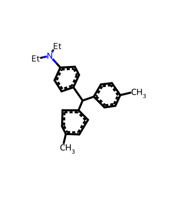 CCN(CC)c1ccc(C(c2ccc(C)cc2)c2ccc(C)cc2)cc1